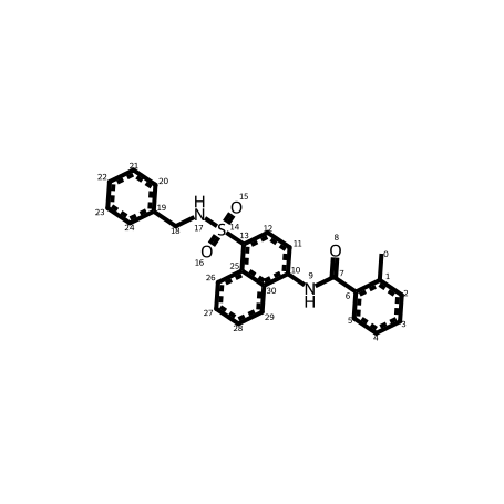 Cc1ccccc1C(=O)Nc1ccc(S(=O)(=O)NCc2ccccc2)c2ccccc12